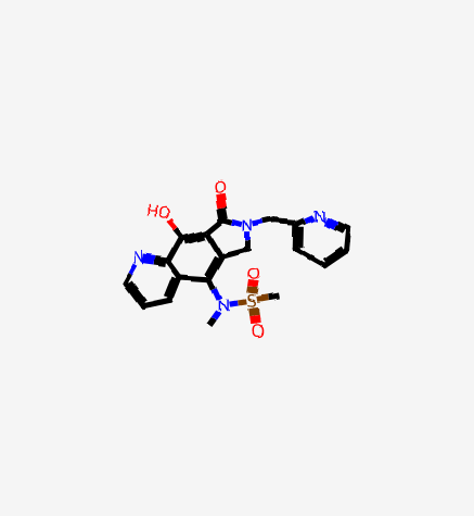 CN(c1c2c(c(O)c3ncccc13)C(=O)N(Cc1ccccn1)C2)S(C)(=O)=O